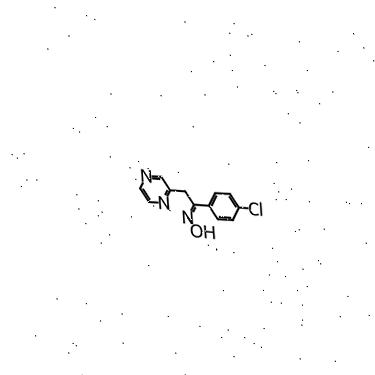 ON=C(Cc1cnccn1)c1ccc(Cl)cc1